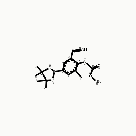 Cc1cc(B2OC(C)(C)C(C)(C)O2)cc(C=N)c1NC(=O)OC(C)(C)C